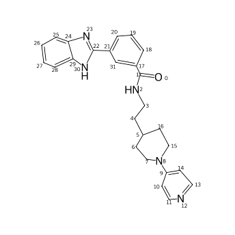 O=C(NCCC1CCN(c2ccncc2)CC1)c1cccc(-c2nc3ccccc3[nH]2)c1